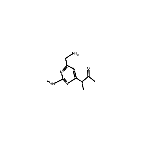 CNc1nc(CN)nc(N(C)C(C)=O)n1